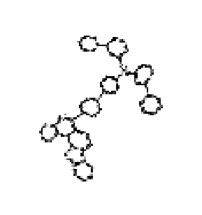 c1ccc(-c2cccc(N(c3ccc(-c4ccc(-c5nc6ccccc6c6c5ccc5c7ccccc7sc56)cc4)cc3)c3cccc(-c4ccccc4)c3)c2)cc1